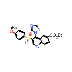 CCCCOc1ccc(S(=O)(=O)c2cnc3ccc(C(=O)OCC)cc3c2-n2cncn2)cc1